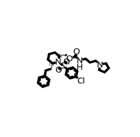 O=C(NCCCN1CCCC1)OC[C@H]1CCC[C@@H](CCc2ccccc2)N1S(=O)(=O)c1ccc(Cl)cc1